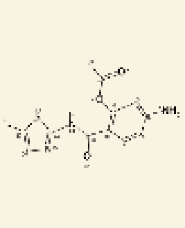 CC(=O)Oc1cc(N)ccc1C(=O)Nc1ncc(C)s1